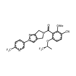 COc1c(C#N)ccc(O[C@@H](C)C(F)(F)F)c1C(=O)N1Cc2cn(-c3ccc(C(F)(F)F)nc3)nc2C1